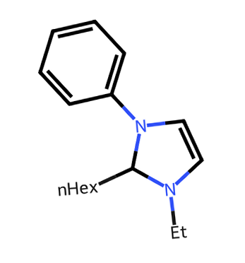 CCCCCCC1N(CC)C=CN1c1ccccc1